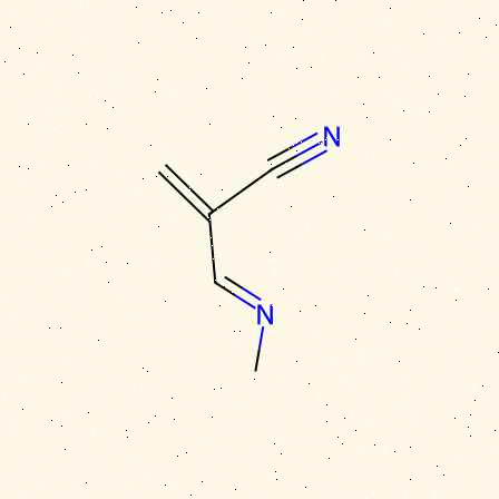 C=C(C#N)C=NC